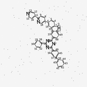 C[Si]1(C)c2ccc(-c3ccc(-c4ccncc4)nc3)cc2-c2cc(-c3nc(-c4ccccc4)nc(-c4ccc(-c5ccccc5)cc4)n3)ccc21